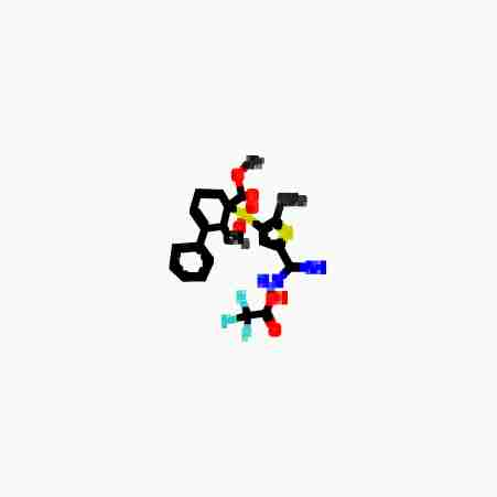 CSc1sc(C(=N)N)cc1S(=O)(=O)C1(C(=O)OC(C)C)C=CC=C(c2ccccc2)C1C.O=C(O)C(F)(F)F